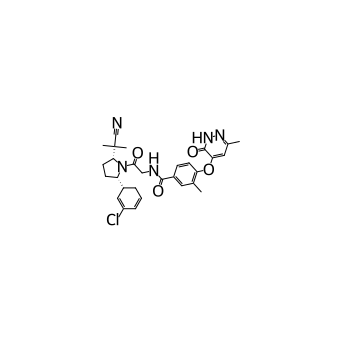 Cc1cc(Oc2ccc(C(=O)NCC(=O)N3[C@H](C4C=C(Cl)C=CC4)CC[C@@H]3C(C)(C)C#N)cc2C)c(=O)[nH]n1